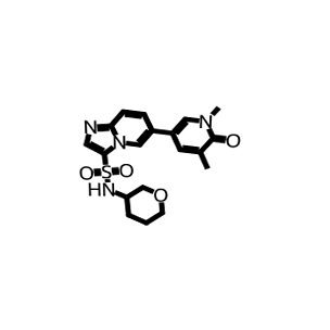 Cc1cc(-c2ccc3ncc(S(=O)(=O)NC4CCCOC4)n3c2)cn(C)c1=O